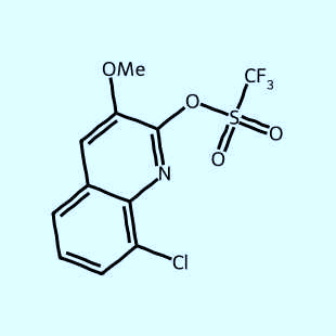 COc1cc2cccc(Cl)c2nc1OS(=O)(=O)C(F)(F)F